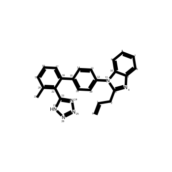 C=CCc1nc2ccccc2n1-c1ccc(-c2cccc(C)c2-c2nnn[nH]2)cc1